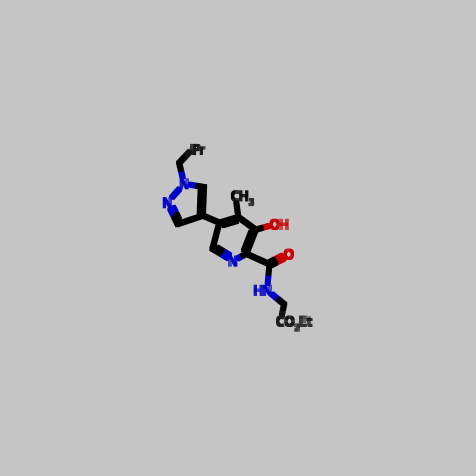 CCOC(=O)CNC(=O)c1ncc(-c2cnn(CC(C)C)c2)c(C)c1O